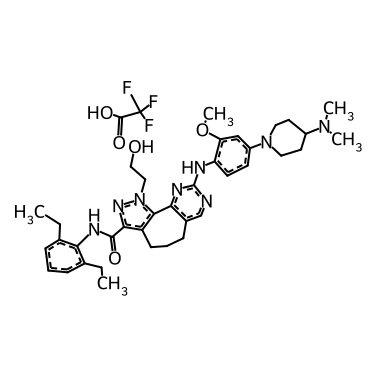 CCc1cccc(CC)c1NC(=O)c1nn(CCO)c2c1CCCc1cnc(Nc3ccc(N4CCC(N(C)C)CC4)cc3OC)nc1-2.O=C(O)C(F)(F)F